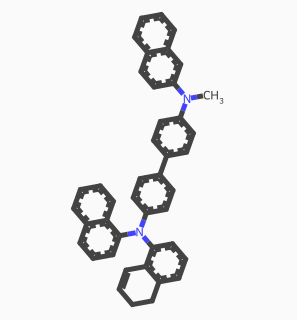 CN(c1ccc(-c2ccc(N(c3cccc4c3C=CCC4)c3cccc4ccccc34)cc2)cc1)c1ccc2ccccc2c1